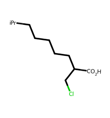 CC(C)CCCCCC(CCl)C(=O)O